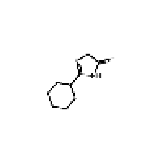 O=C1CN=C(C2CCCCC2)N1